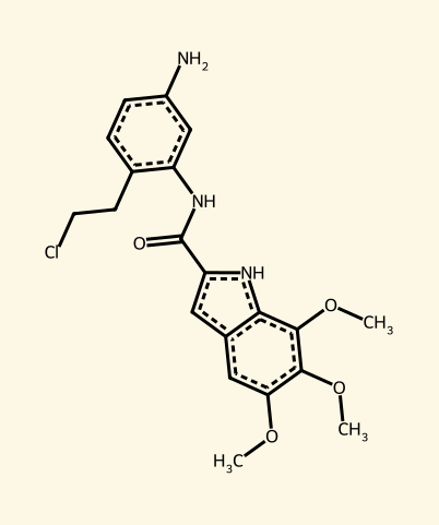 COc1cc2cc(C(=O)Nc3cc(N)ccc3CCCl)[nH]c2c(OC)c1OC